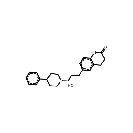 Cl.O=C1CCc2cc(CCCN3CCC(c4ccccc4)CC3)ccc2N1